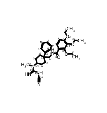 CCOc1ccc(C(=O)NCC2(c3ccccc3)CCC(N(C)C(=N)NC#N)CC2)c(OCC)c1OCC